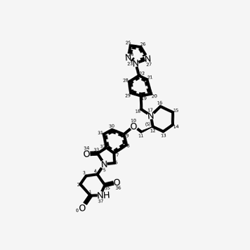 O=C1CCC(N2Cc3cc(OC[C@@H]4CCCCN4Cc4ccc(-n5nccn5)cc4)ccc3C2=O)C(=O)N1